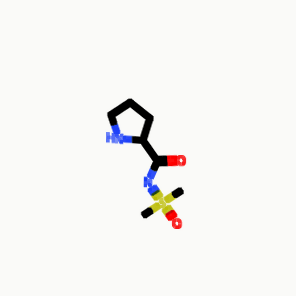 CS(C)(=O)=NC(=O)C1CCCN1